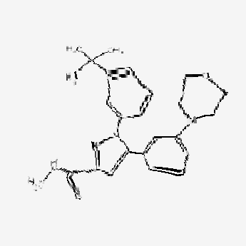 CNC(=O)c1cc(-c2cccc(N3CCOCC3)c2)n(-c2cccc(C(C)(C)C)c2)n1